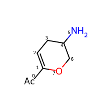 CC(=O)C1=CCC(N)CO1